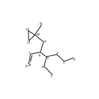 CCCC(CC)C(C=S)CC1(C)CC1